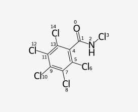 O=C(NCl)c1c(Cl)c(Cl)c(Cl)c(Cl)c1Cl